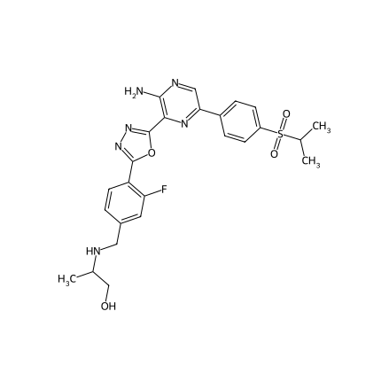 CC(CO)NCc1ccc(-c2nnc(-c3nc(-c4ccc(S(=O)(=O)C(C)C)cc4)cnc3N)o2)c(F)c1